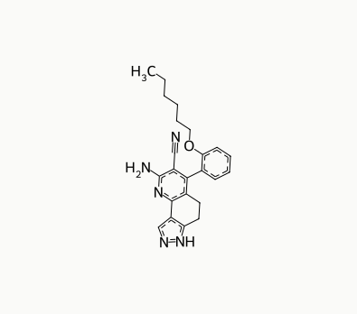 CCCCCCOc1ccccc1-c1c(C#N)c(N)nc2c1CCc1[nH]ncc1-2